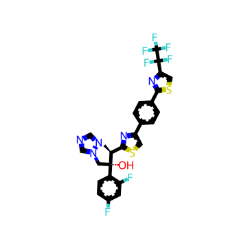 C[C@@H](c1nc(-c2ccc(-c3nc(C(F)(F)C(F)(F)F)cs3)cc2)cs1)[C@](O)(Cn1cncn1)c1ccc(F)cc1F